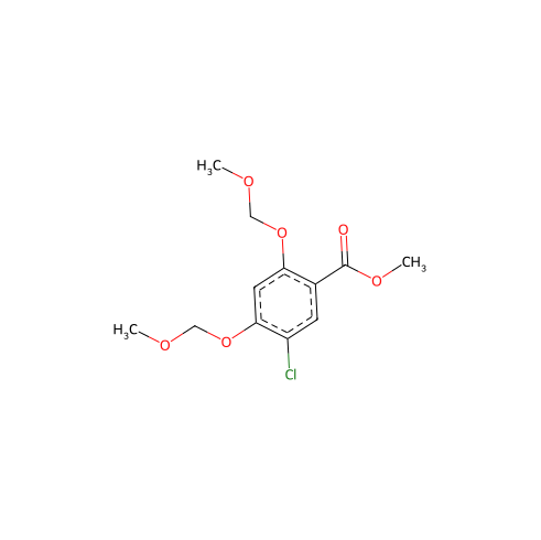 COCOc1cc(OCOC)c(C(=O)OC)cc1Cl